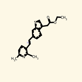 CCOC(=O)Cc1csc2cc(/C=C/c3ccc(C)nc3C)ccc12